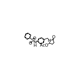 CC(=O)OC1CCC(=O)N1Cc1ccc(NS(=O)(=O)c2ccccc2)cc1